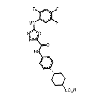 O=C(Nc1ccc([C@H]2CC[C@H](C(=O)O)CC2)cc1)c1nnc(Nc2cc(F)c(F)cc2F)o1